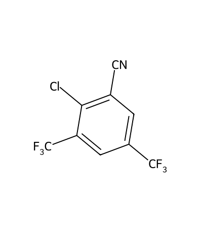 N#Cc1cc(C(F)(F)F)cc(C(F)(F)F)c1Cl